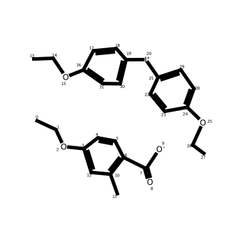 CCOc1ccc(C(=O)[O-])c(C)c1.CCOc1ccc([I+]c2ccc(OCC)cc2)cc1